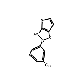 Oc1cccc(N2Nc3sccc3S2)c1